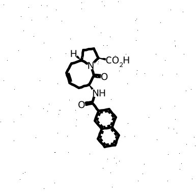 O=C(N[C@H]1CC=CC[C@@H]2CC[C@@H](C(=O)O)N2C1=O)c1ccc2ccccc2c1